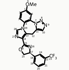 COc1ccc2c(c1)-n1nncc1Cc1c(C3=N[C@@H](c4cccc(C(F)(F)F)c4)CO3)ncn1-2